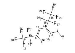 [CH2]Cc1ccc(C(F)(F)C(F)(F)F)cc1C(F)(F)C(F)(F)F